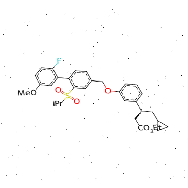 CCOC(=O)C[C@H](CC1CC1)c1cccc(OCc2ccc(-c3cc(OC)ccc3F)c(S(=O)(=O)C(C)C)c2)c1